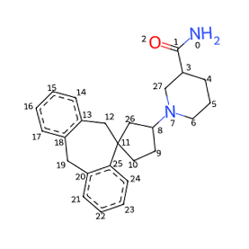 NC(=O)C1CCCN(C2CCC3(Cc4ccccc4Cc4ccccc43)C2)C1